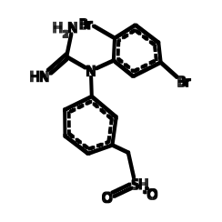 N=C(N)N(c1cccc(C[SH](=O)=O)c1)c1cc(Br)ccc1Br